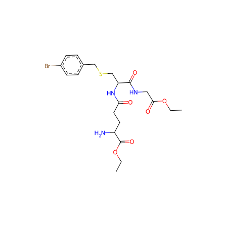 CCOC(=O)CNC(=O)C(CSCc1ccc(Br)cc1)NC(=O)CCC(N)C(=O)OCC